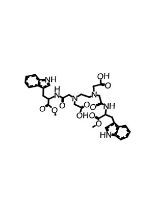 COC(=O)C(Cc1c[nH]c2ccccc12)NC(=O)CN(CCN(CC(=O)O)CC(=O)NC(Cc1c[nH]c2ccccc12)C(=O)OC)CC(=O)O